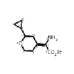 CCOC(=O)/C(N)=C1\CCOC(C2CC2)C1